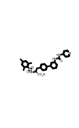 Cc1cc(C)c(S(=O)(=O)N[C@@H](Cc2ccc(-c3cccc(NC(=O)Nc4ccncc4)c3)cc2)C(=O)O)c(C)c1